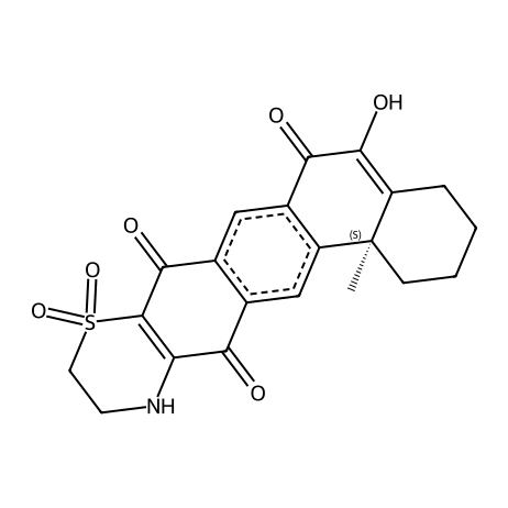 C[C@@]12CCCCC1=C(O)C(=O)c1cc3c(cc12)C(=O)C1=C(C3=O)S(=O)(=O)CCN1